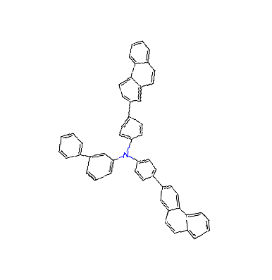 c1ccc(-c2cccc(N(c3ccc(-c4ccc5c(ccc6ccccc65)c4)cc3)c3ccc(-c4ccc5c(ccc6ccccc65)c4)cc3)c2)cc1